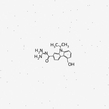 CC(C)n1c2cc(C(=O)N=C(N)N)ccc2c2c(CO)cccc21